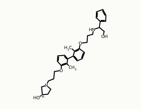 Cc1c(OCCCNC(CO)c2ccccc2)cccc1-c1cccc(OCCCN2CC[C@@H](O)C2)c1C